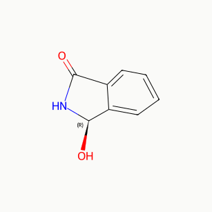 O=C1N[C@H](O)c2ccccc21